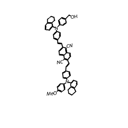 COc1ccc(N(c2ccc(C=Cc3ccc4c(C#N)c(C=Cc5ccc(N(c6ccc(CO)cc6)c6cccc7c6CCCC7)cc5)ccc4c3C#N)cc2)c2cccc3c2CCCC3)cc1